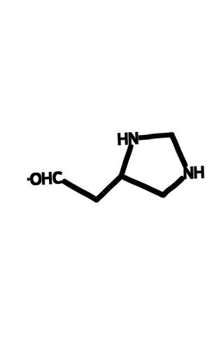 O=[C]CC1CNCN1